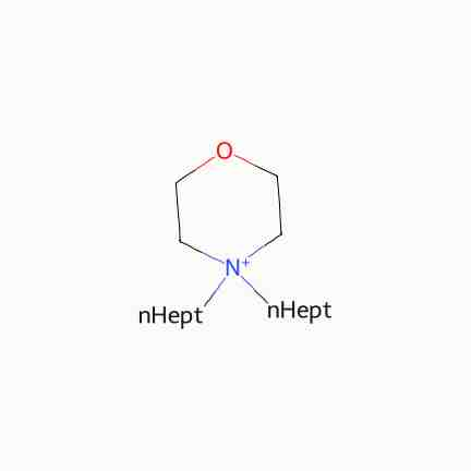 CCCCCCC[N+]1(CCCCCCC)CCOCC1